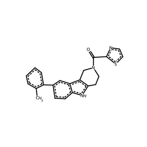 Cc1ccccc1-c1ccc2[nH]c3c(c2c1)CN(C(=O)c1nccs1)CC3